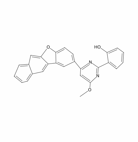 COc1cc(-c2ccc3oc4cc5ccccc5cc4c3c2)nc(-c2ccccc2O)n1